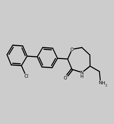 NCC1CCOC(c2ccc(-c3ccccc3Cl)cc2)C(=O)N1